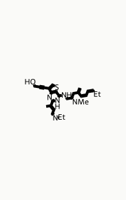 C=C(/C=C\C=C/CC)CC(CNC1NC(/C(C)=C/C=N\CC)=Nc2c(C#CCO)csc21)NC